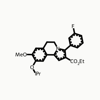 CCOC(=O)c1cc2n(c1-c1cccc(F)c1)CCc1cc(OC)c(OC(C)C)cc1-2